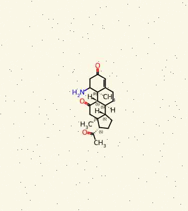 CC(=O)[C@H]1CC[C@H]2[C@@H]3CCC4=CC(=O)CC(N)[C@]4(C)[C@H]3C(=O)C[C@]12C